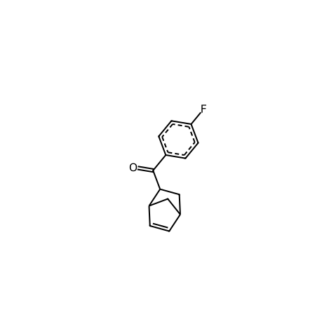 O=C(c1ccc(F)cc1)C1CC2C=CC1C2